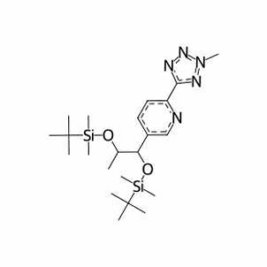 CC(O[Si](C)(C)C(C)(C)C)C(O[Si](C)(C)C(C)(C)C)c1ccc(-c2nnn(C)n2)nc1